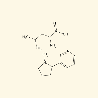 CC(C)CC(N)C(=O)O.CN1CCCC1c1cccnc1